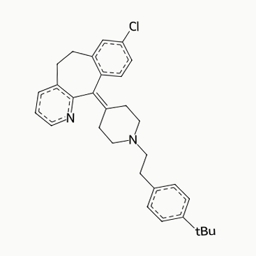 CC(C)(C)c1ccc(CCN2CCC(=C3c4ccc(Cl)cc4CCc4cccnc43)CC2)cc1